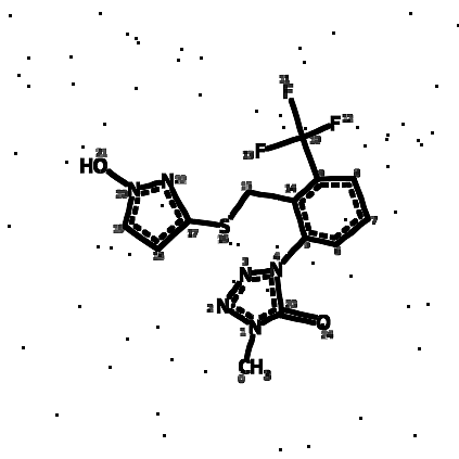 Cn1nnn(-c2cccc(C(F)(F)F)c2CSc2ccn(O)n2)c1=O